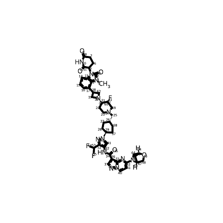 Cn1c(=O)n(C2CCC(=O)NC2=O)c2cccc(C3CN([C@@H]4CCN(C[C@H]5CC[C@H](n6cc(NC(=O)c7cnn8ccc(N9C[C@H]%10C[C@@H]9CO%10)nc78)c(C(F)F)n6)CC5)C[C@H]4F)C3)c21